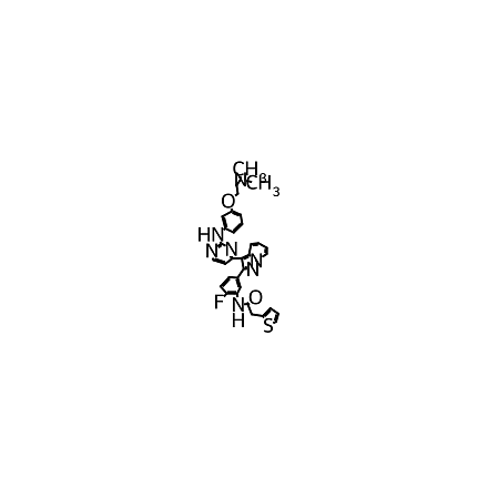 CN(C)CCOc1cccc(Nc2nccc(-c3c(-c4ccc(F)c(NC(=O)Cc5cccs5)c4)nn4ccccc34)n2)c1